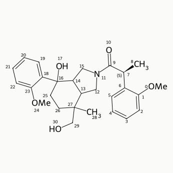 COc1ccccc1[C@H](C)C(=O)N1CC2C(C1)C(O)(c1ccccc1OC)CCC2(C)CO